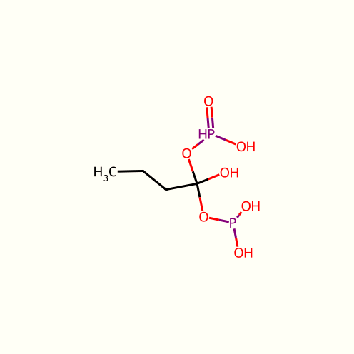 CCCC(O)(OP(O)O)O[PH](=O)O